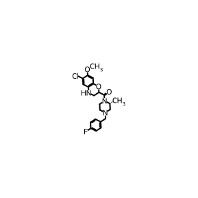 COc1cc2c(cc1Cl)NCC(C(=O)N1CCN(Cc3ccc(F)cc3)C[C@H]1C)O2